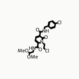 COC(CNC(=O)c1ccc(C(=O)NCc2ccc(Cl)cc2)c(=O)n1CCCl)OC